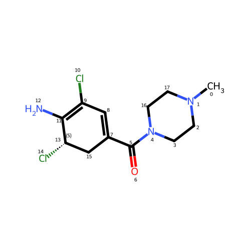 CN1CCN(C(=O)C2=CC(Cl)=C(N)[C@@H](Cl)C2)CC1